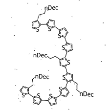 CCCCCCCCCCCCc1ccsc1-c1ccc(-c2ccc(-c3ccc(-c4sc(-c5cc(CCCCCCCCCCCC)c(-c6ccc(-c7ccc(-c8ccc(-c9sccc9CCCCCCCCCCCC)s8)s7)s6)s5)cc4CCCCCCCCCCCC)s3)s2)s1